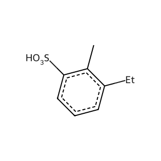 CCc1cccc(S(=O)(=O)O)c1C